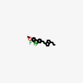 CCCC1CCC2C(CCc3ccc(-c4ccc(OCC)c(F)c4F)c(F)c3)CCC12